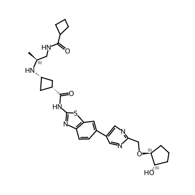 C[C@@H](CNC(=O)C1CCC1)N[C@H]1C[C@@H](C(=O)Nc2nc3ccc(-c4cnc(CO[C@H]5CCC[C@@H]5O)nc4)cc3s2)C1